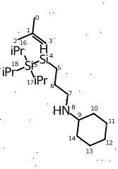 CC(C)=C[SiH](CCCNC1CCCCC1)[Si](C(C)C)(C(C)C)C(C)C